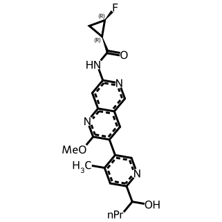 CCCC(O)c1cc(C)c(-c2cc3cnc(NC(=O)[C@H]4C[C@H]4F)cc3nc2OC)cn1